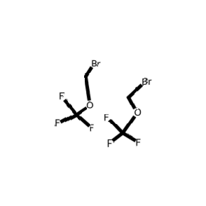 FC(F)(F)OCBr.FC(F)(F)OCBr